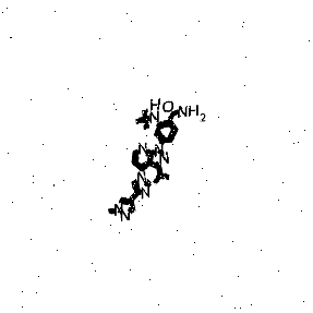 CC(C)c1nn(-c2ccc(C(N)=O)c(NC(C)(C)C)c2)c2nccc(-n3cnc(-c4cnn(C)c4)c3)c12